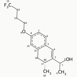 CC(O)C1=Cc2ccc(OCCCC(F)(F)F)cc2C[C@H]1C